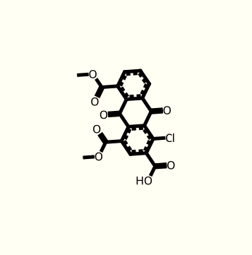 COC(=O)c1cccc2c1C(=O)c1c(C(=O)OC)cc(C(=O)O)c(Cl)c1C2=O